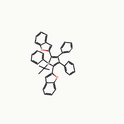 CC(C)(C)[Si]1(c2ccccc2)C(c2cc3ccccc3o2)=C(c2ccccc2)C(c2ccccc2)=C1c1cc2ccccc2o1